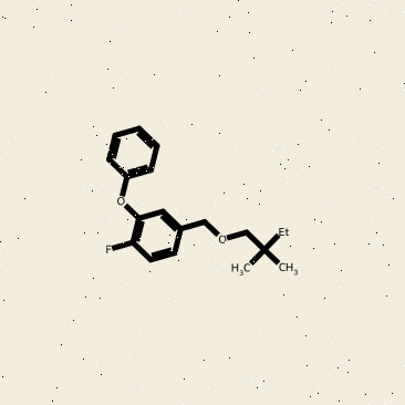 CCC(C)(C)COCc1ccc(F)c(Oc2ccccc2)c1